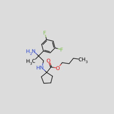 CCCCOC(=O)C1(NCC(C)(N)c2cc(F)cc(F)c2)CCCC1